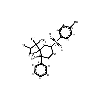 CC1(C(F)(C(F)F)C(F)(F)F)CC(S(=O)(=O)c2ccc(F)cc2)CCC1(N)c1ccccc1